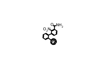 NC(=O)c1cccc(-c2ccccc2[C]23[CH]4[CH]5[CH]6[CH]2[Fe]56432789[CH]3[CH]2[CH]7[CH]8[CH]39)c1[N+](=O)[O-]